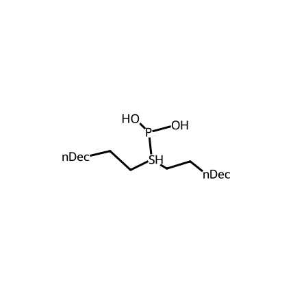 CCCCCCCCCCCC[SH](CCCCCCCCCCCC)P(O)O